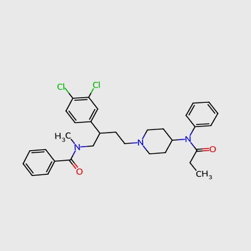 CCC(=O)N(c1ccccc1)C1CCN(CCC(CN(C)C(=O)c2ccccc2)c2ccc(Cl)c(Cl)c2)CC1